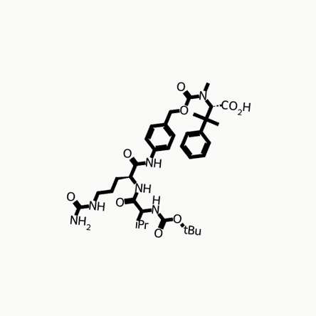 CC(C)C(NC(=O)OC(C)(C)C)C(=O)N[C@@H](CCCNC(N)=O)C(=O)Nc1ccc(COC(=O)N(C)[C@H](C(=O)O)C(C)(C)c2ccccc2)cc1